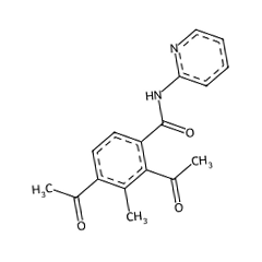 CC(=O)c1ccc(C(=O)Nc2ccccn2)c(C(C)=O)c1C